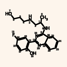 CC(CNCCCO)Nc1nc(-c2cc(F)ccc2O)nc2ccccc12